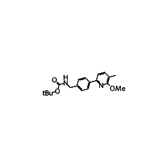 COc1nc(-c2ccc(CNC(=O)OC(C)(C)C)cc2)ccc1C